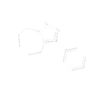 c1ccc(-c2nnc3n2CCCCC3)cc1